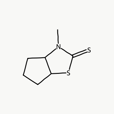 CN1C(=S)SC2CCCC21